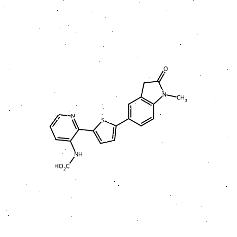 CN1C(=O)Cc2cc(-c3ccc(-c4ncccc4NC(=O)O)s3)ccc21